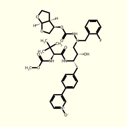 COC(=O)N[C@H](C(=O)N[C@@H](Cc1ccc(-c2ccc[n+]([O-])c2)cc1)[C@@H](O)CN(Cc1ccccc1F)NC(=O)O[C@H]1CO[C@H]2OCC[C@H]21)C(C)(C)C